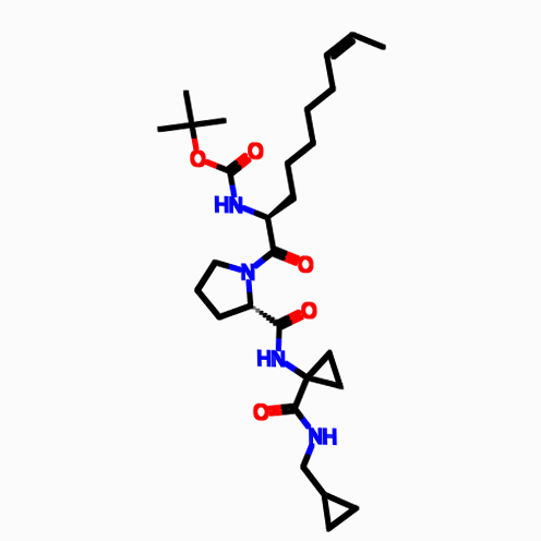 C/C=C\CCCCC[C@H](NC(=O)OC(C)(C)C)C(=O)N1CCC[C@H]1C(=O)NC1(C(=O)NCC2CC2)CC1